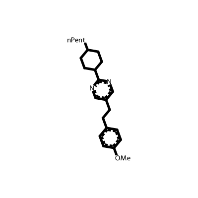 CCCCCC1CCC(c2ncc(CCc3ccc(OC)cc3)cn2)CC1